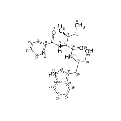 CC[C@H](C)[C@H](NC(=O)c1ccccn1)C(=O)N[C@H](CO)Cc1c[nH]c2ccccc12